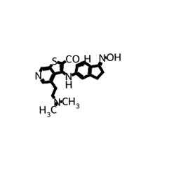 CN(C)CCc1cncc2sc(C(=O)O)c(Nc3ccc4c(c3)CCC4=NO)c12